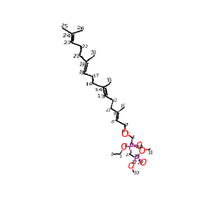 CCOP(=O)(COC/C=C(\C)CC/C=C(\C)CC/C=C(\C)CCC=C(C)C)CP(=O)(OC)OC